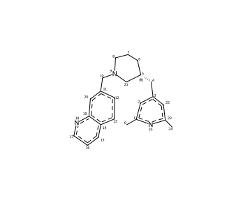 Cc1cc(C[C@H]2CCCN(Cc3ccc4cccnc4c3)C2)cc(C)n1